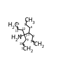 C=CCC(CCC)C(N)(CC=C)CC=C